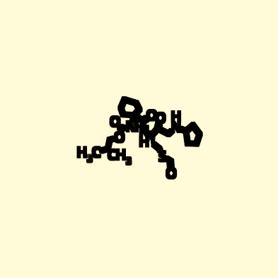 CC(C)COC(=O)NC1(C(=O)N[C@@H](CCSC=O)C(=O)CNC2CCCC2)CCCCC1